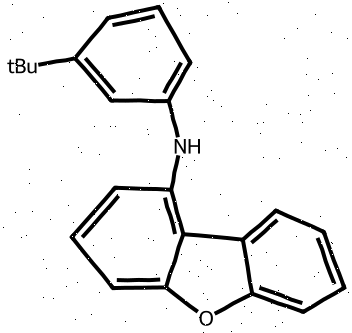 CC(C)(C)c1cccc(Nc2cccc3oc4ccccc4c23)c1